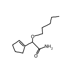 CCCCCOC(C(N)=O)C1=CCCC1